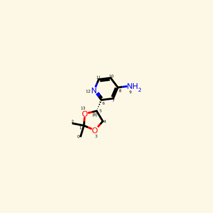 CC1(C)OC[C@@H](c2cc(N)ccn2)O1